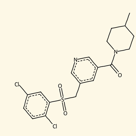 CC1CCN(C(=O)c2cncc(CS(=O)(=O)c3cc(Cl)ccc3Cl)c2)CC1